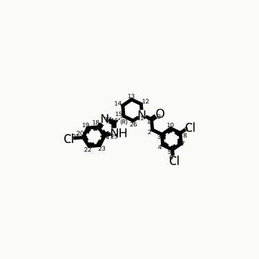 O=C(Cc1cc(Cl)cc(Cl)c1)N1CCC[C@@H](c2nc3cc(Cl)ccc3[nH]2)C1